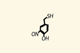 O=Nc1cc(CS)ccc1O